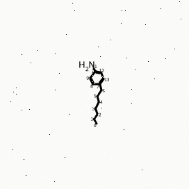 CCC[CH]CCCc1ccc(N)cc1